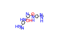 O=C(Nc1ccc(C2=NCCN2)cc1)c1cncc(C(O)Nc2ccc(C3=NCCN3)cc2)c1